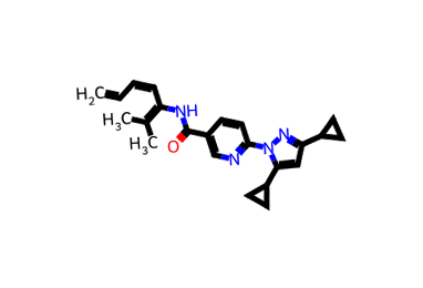 C=C/C=C\C(NC(=O)c1ccc(-n2nc(C3CC3)cc2C2CC2)nc1)=C(C)C